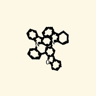 C1=Cc2c(c3ccccc3n2-c2cc(-c3ccccc3-n3c4ccccc4c4ccccc43)c3oc4ccccc4c3c2)CC1